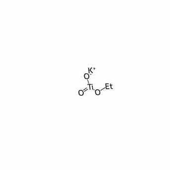 CC[O][Ti](=[O])[O-].[K+]